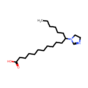 CCCCCCC(CCCCCCCCCCC(=O)O)N1C=NCC1